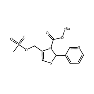 CC(C)(C)OC(=O)N1C(COS(C)(=O)=O)=CSC1c1cccnc1